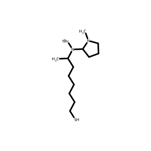 CC(CCCCCCS)N(C1CCCN1C)C(C)(C)C